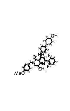 COc1ccc(Cn2cc(C)c3nc(-c4c(F)cccc4F)cc(Nc4ccc(N5CCC(O)CC5)cn4)c3c2=O)cc1